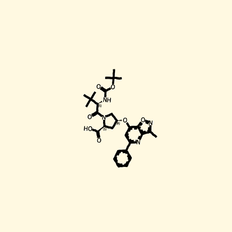 Cc1noc2c(O[C@@H]3C[C@@H](C(=O)O)N(C(=O)[C@@H](NC(=O)OC(C)(C)C)C(C)(C)C)C3)cc(-c3ccccc3)nc12